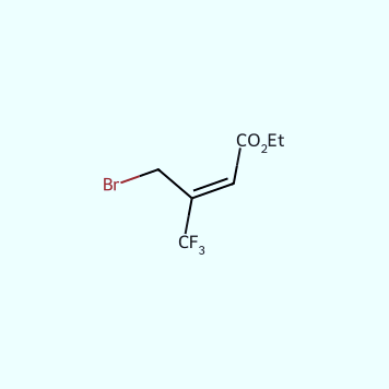 CCOC(=O)/C=C(\CBr)C(F)(F)F